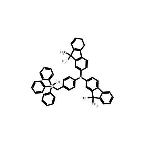 CC1(C)C2=C(CCC=C2)c2ccc(N(c3ccc(CP(C)(c4ccccc4)(c4ccccc4)c4ccccc4)cc3)c3ccc4c(c3)C(C)(C)c3ccccc3-4)cc21